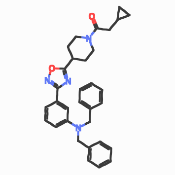 O=C(CC1CC1)N1CCC(c2nc(-c3cccc(N(Cc4ccccc4)Cc4ccccc4)c3)no2)CC1